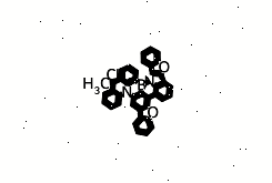 CC1(C)c2ccccc2N2c3cc4c(oc5ccccc54)c4c3B(c3cccc1c32)n1c2c-4cccc2c2oc3ccccc3c21